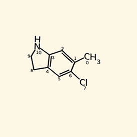 Cc1cc2c(cc1Cl)CCN2